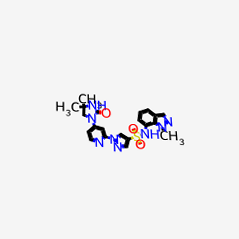 Cn1ncc2cccc(NS(=O)(=O)c3cnn(-c4cc(N5CC(C)(C)NC5=O)ccn4)c3)c21